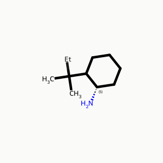 CCC(C)(C)C1CCCC[C@@H]1N